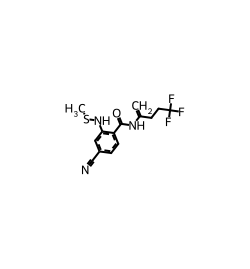 C=C(CCC(F)(F)F)NC(=O)c1ccc(C#N)cc1NSC